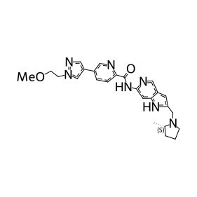 COCCn1cc(-c2ccc(C(=O)Nc3cc4[nH]c(CN5CCC[C@@H]5C)cc4cn3)nc2)cn1